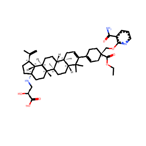 C=C(C)[C@@H]1CC[C@]2(NCC(O)C(=O)O)CC[C@]3(C)[C@H](CC[C@@H]4[C@@]5(C)CC=C(C6=CC[C@@](COc7ncccc7C(N)=O)(C(=O)OCC)CC6)C(C)(C)[C@@H]5CC[C@]43C)[C@@H]12